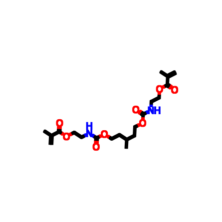 C=C(C)C(=O)OCCNC(=O)OCCC(C)CCOC(=O)NCCOC(=O)C(=C)C